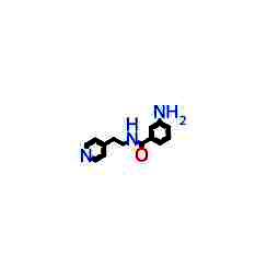 Nc1cccc(C(=O)NCCc2ccncc2)c1